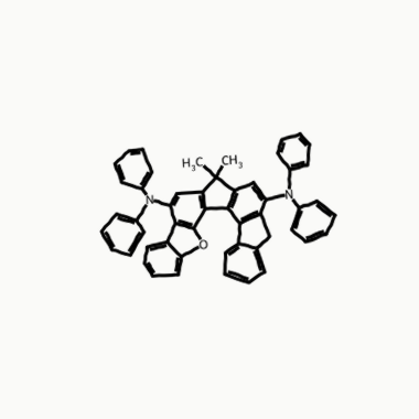 CC1(C)c2cc(N(c3ccccc3)c3ccccc3)c3c(c2-c2c1cc(N(c1ccccc1)c1ccccc1)c1c2oc2ccccc21)-c1ccccc1C3